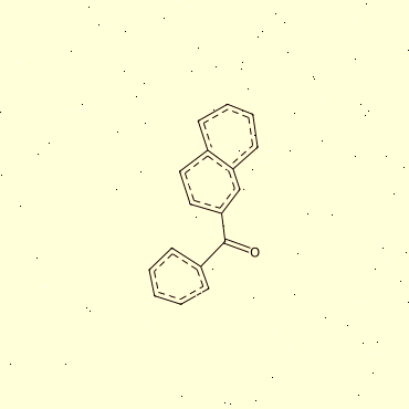 O=C(c1[c]c2ccccc2cc1)c1ccccc1